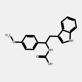 COc1ccc(C(Cc2c[nH]c3ccccc23)NC(=O)O)cc1